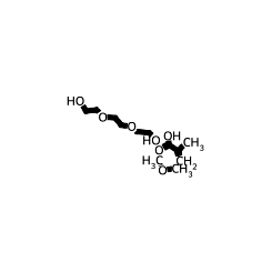 C=C(C)C(=O)O.COC.OCCOCCOCCO